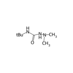 CN(C)NC(=O)NC(C)(C)C